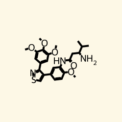 COc1ccc(-c2csnc2-c2cc(OC)c(OC)c(OC)c2)cc1NC(=O)CC(N)C(C)C